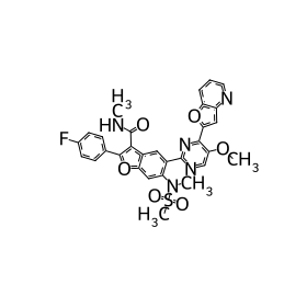 CNC(=O)c1c(-c2ccc(F)cc2)oc2cc(N(C)S(C)(=O)=O)c(-c3ncc(OC)c(-c4cc5ncccc5o4)n3)cc12